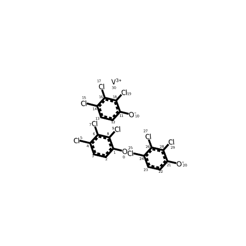 [O-]c1ccc(Cl)c(Cl)c1Cl.[O-]c1ccc(Cl)c(Cl)c1Cl.[O-]c1ccc(Cl)c(Cl)c1Cl.[V+3]